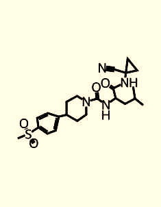 CC(C)CC(NC(=O)N1CCC(c2ccc(S(C)(=O)=O)cc2)CC1)C(=O)NC1(C#N)CC1